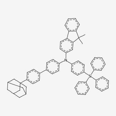 CC1(C)c2ccccc2-c2ccc(N(c3ccc(-c4ccc(C56CC7CC(CC(C7)C5)C6)cc4)cc3)c3ccc([Si](c4ccccc4)(c4ccccc4)c4ccccc4)cc3)cc21